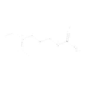 CO[SiH](CCCNC(N)=O)OC